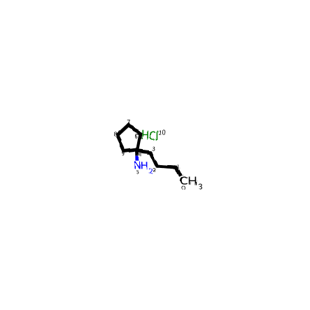 CCCCC1(N)CCCC1.Cl